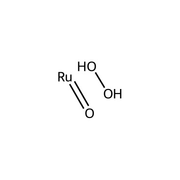 OO.[O]=[Ru]